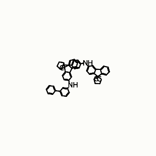 c1ccc(-c2cccc(Nc3ccc4c(c3)-c3ccccc3C43C4CCC3C(c3ccc(Nc5ccc6c(c5)-c5ccccc5C65C6CCC5CC6)cc3)C4)c2)cc1